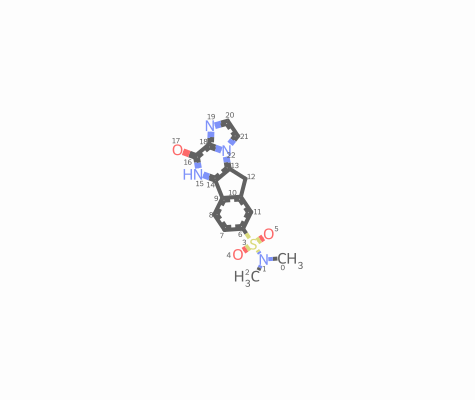 CN(C)S(=O)(=O)c1ccc2c(c1)Cc1c-2[nH]c(=O)c2nccn12